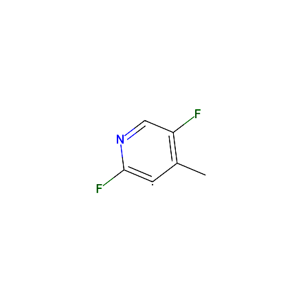 Cc1[c]c(F)ncc1F